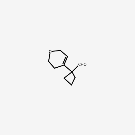 O=CC1(C2=CCOCC2)CCC1